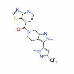 Cn1nc(C(F)(F)F)cc1-c1c2c(nn1C)CN(C(=O)c1ccnc3ncsc13)CC2